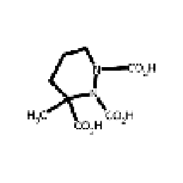 CC1(C(=O)O)CCCN(C(=O)O)N1C(=O)O